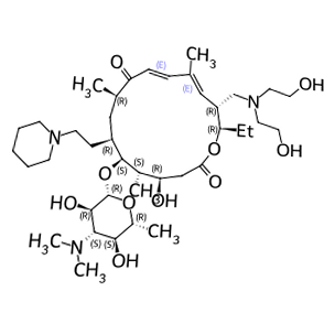 CC[C@H]1OC(=O)C[C@@H](O)[C@H](C)[C@@H](O[C@@H]2O[C@H](C)[C@@H](O)[C@H](N(C)C)[C@H]2O)[C@@H](CCN2CCCCC2)C[C@@H](C)C(=O)/C=C/C(C)=C/[C@@H]1CN(CCO)CCO